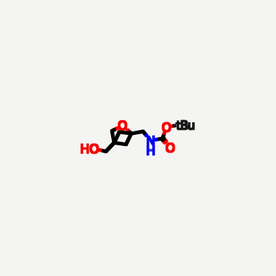 CC(C)(C)OC(=O)NCC12CC(CO)(CO1)C2